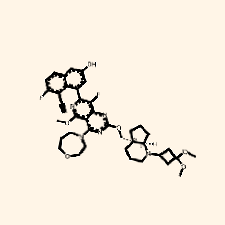 C#Cc1c(F)ccc2cc(O)cc(-c3nc(OC)c4c(N5CCCOCC5)nc(OC[C@]56CCC[C@H]5N(C5CC(OC)(OC)C5)CCC6)nc4c3F)c12